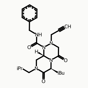 C#CCN1CC(=O)N2[C@@H](C(C)CC)C(=O)N(CC(C)C)C[C@@H]2N1C(=O)NCc1ccccc1